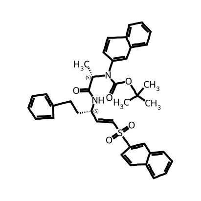 C[C@@H](C(=O)N[C@H](C=CS(=O)(=O)c1ccc2ccccc2c1)CCc1ccccc1)N(C(=O)OC(C)(C)C)c1ccc2ccccc2c1